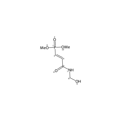 COP(=O)(C=CC(=O)NCO)OC